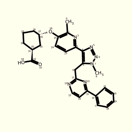 Cc1nc(-c2nnn(C)c2Cc2nccc(-c3ccccc3)n2)ccc1O[C@H]1CCC[C@H](C(=O)O)C1